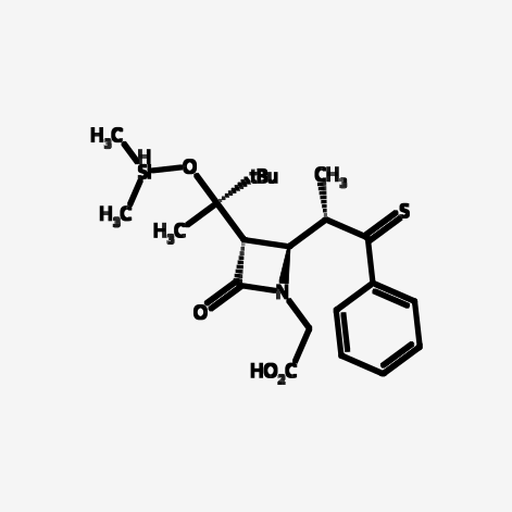 C[C@H](C(=S)c1ccccc1)[C@@H]1[C@@H]([C@@](C)(O[SiH](C)C)C(C)(C)C)C(=O)N1CC(=O)O